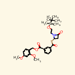 COc1ccc(COC(=O)c2cccc(C(=O)S[C@@H]3CC(=O)N3CCO[Si](C)(C)C(C)(C)C)c2)c(OC)c1